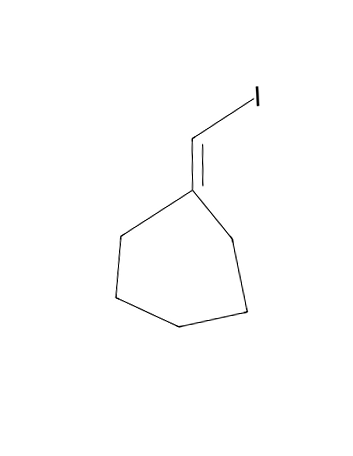 IC=C1CCCCC1